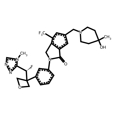 Cn1cnnc1[C@H](F)C1(c2cccc(N3Cc4c(cc(CN5CCC(C)(O)CC5)cc4C(F)(F)F)C3=O)c2)COC1